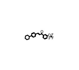 O=C(C=Cc1ccc(C2CCCCC2)cc1)c1cccc(OC(F)(F)F)c1